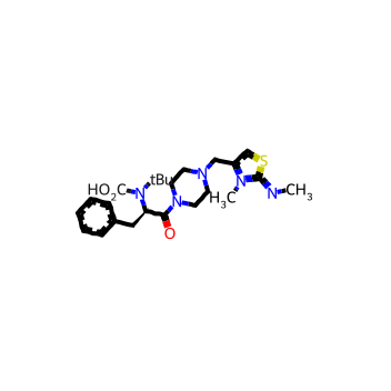 C/N=c1\scc(CN2CCN(C(=O)[C@@H](Cc3ccccc3)N(C(=O)O)C(C)(C)C)CC2)n1C